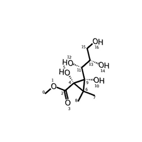 COC(=O)[C@]1(O)C(C)(C)[C@]1(O)[C@H](O)[C@@H](O)CO